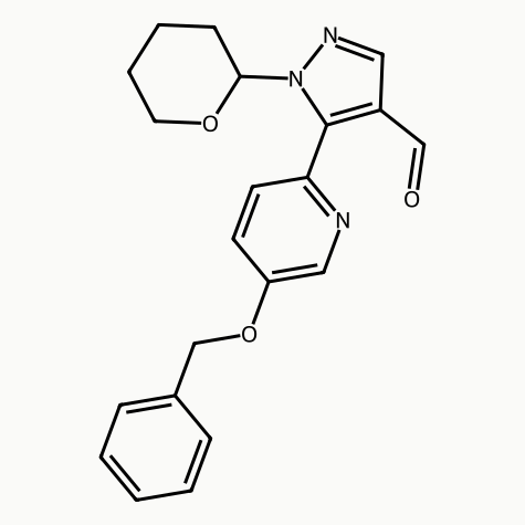 O=Cc1cnn(C2CCCCO2)c1-c1ccc(OCc2ccccc2)cn1